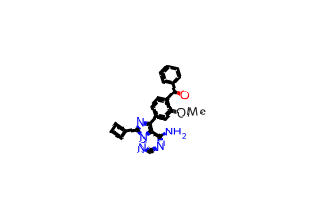 COc1cc(-c2nc(C3=CC=C3)n3ncnc(N)c23)ccc1C(=O)c1ccccc1